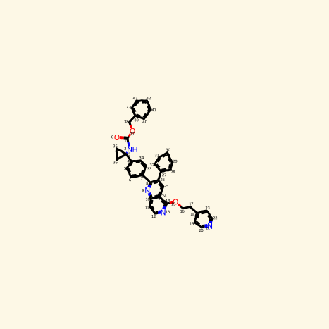 O=C(NC1(c2ccc(-c3nc4ccnc(OCCc5ccncc5)c4cc3-c3ccccc3)cc2)CC1)OCc1ccccc1